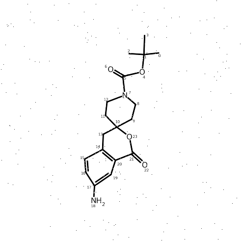 CC(C)(C)OC(=O)N1CCC2(CC1)Cc1ccc(N)cc1C(=O)O2